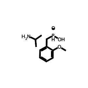 CC(C)N.COc1ccccc1C[PH](=O)O